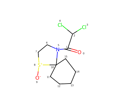 O=C(C(Cl)Cl)N1CC[S+]([O-])C12CCCCC2